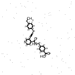 CCc1ccc(CC#Cc2cnccc2C(=O)NCc2ccc(C(=O)O)cc2)cc1